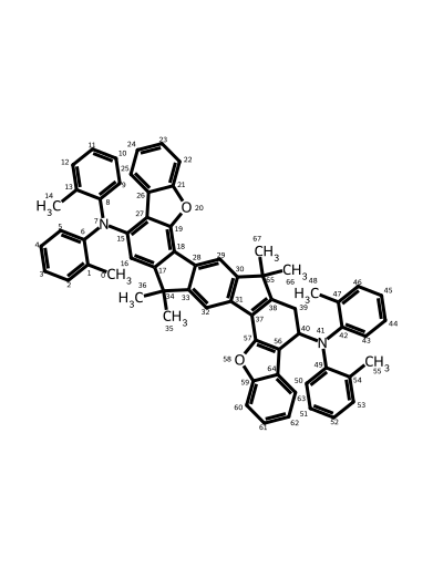 Cc1ccccc1N(c1ccccc1C)c1cc2c(c3oc4ccccc4c13)-c1cc3c(cc1C2(C)C)C1=C(CC(N(c2ccccc2C)c2ccccc2C)c2c1oc1ccccc21)C3(C)C